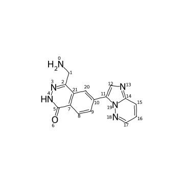 NCc1n[nH]c(=O)c2ccc(-c3cnc4cccnn34)cc12